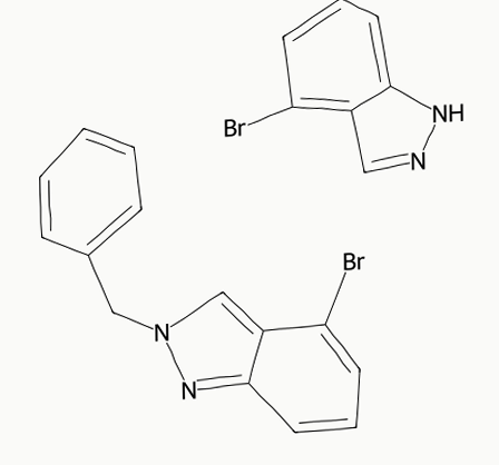 Brc1cccc2[nH]ncc12.Brc1cccc2nn(Cc3ccccc3)cc12